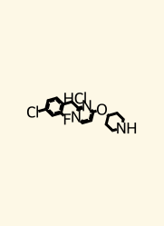 Cl.Fc1cc(Cl)ccc1Cc1nccc(OC2CCNCC2)n1